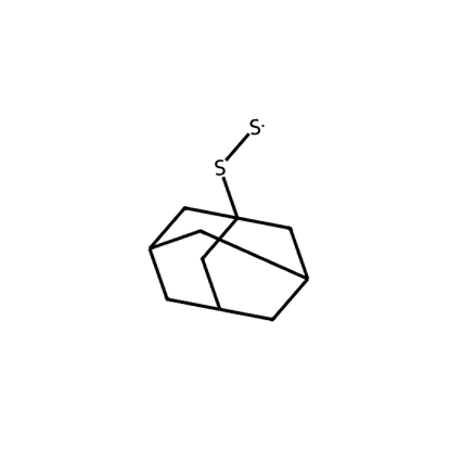 [S]SC12CC3CC(CC(C3)C1)C2